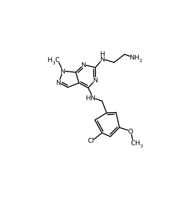 COc1cc(Cl)cc(CNc2nc(NCCN)nc3c2cnn3C)c1